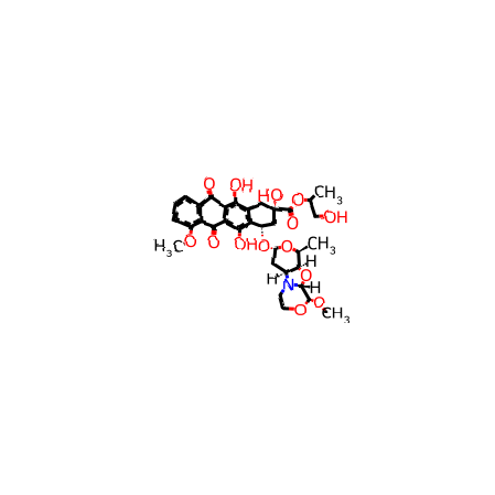 COc1cccc2c1C(=O)c1c(O)c3c(c(O)c1C2=O)C[C@@](O)(C(=O)OC(C)CO)C[C@@H]3O[C@H]1C[C@H]2[C@H](O[C@@H]3[C@@H](OC)OCCN32)[C@H](C)O1